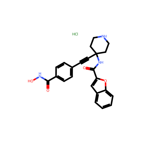 Cl.O=C(NO)c1ccc(C#CC2(NC(=O)c3cc4ccccc4o3)CCNCC2)cc1